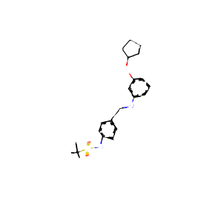 CC(C)(C)S(=O)(=O)Nc1ccc(CNc2cccc(OC3CCCC3)c2)cc1